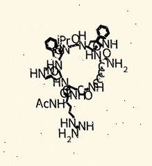 CC(=O)N[C@@H](CCCNC(=N)N)C(=O)N[C@H]1CC(=O)NCCCC[C@@H](C(N)=O)NC(=O)[C@H](Cc2c[nH]c3ccccc23)NC(=O)[C@H](C(C)C)NC(=O)[C@@H](Cc2ccccc2)NC(=O)[C@H](Cc2c[nH]cn2)NC1=O